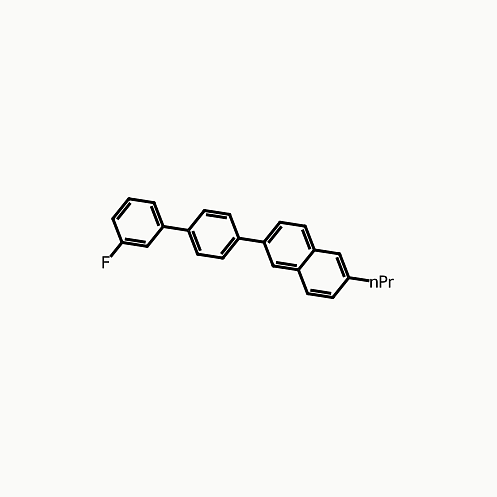 CCCc1ccc2cc(-c3ccc(-c4cccc(F)c4)cc3)ccc2c1